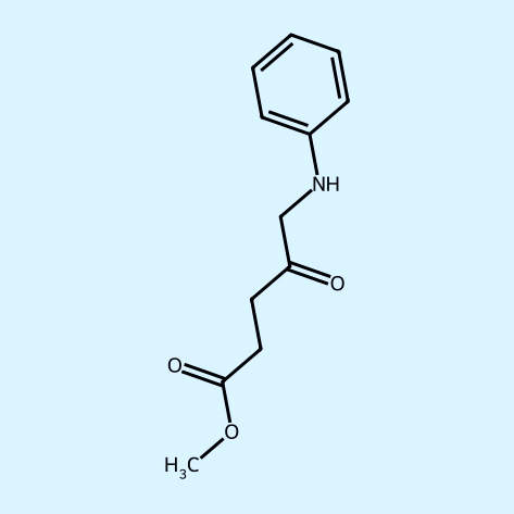 COC(=O)CCC(=O)CNc1ccccc1